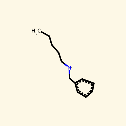 CCCCC[N]Cc1ccccc1